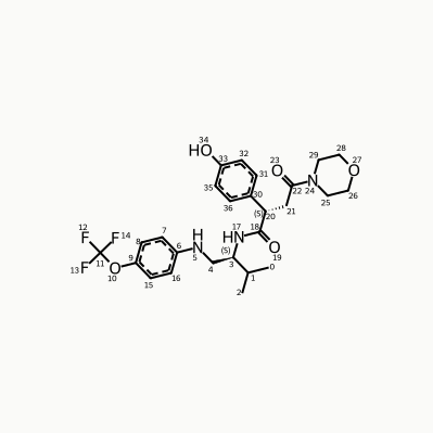 CC(C)[C@@H](CNc1ccc(OC(F)(F)F)cc1)NC(=O)[C@@H](CC(=O)N1CCOCC1)c1ccc(O)cc1